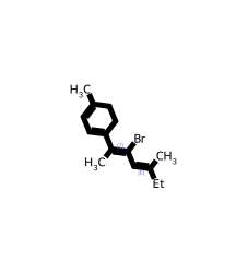 CC/C(C)=C/C(Br)=C(\C)C1=CC=C(C)CC1